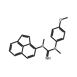 COc1ccc(N(C)C(=N)N(C)c2ccc3cccc4c3c2C=C4)cc1